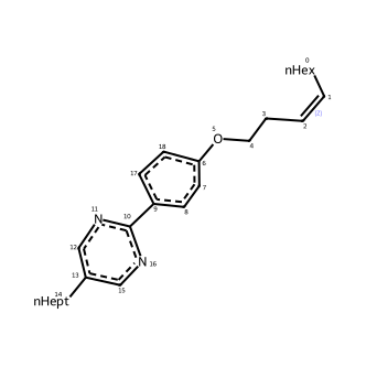 CCCCCC/C=C\CCOc1ccc(-c2ncc(CCCCCCC)cn2)cc1